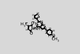 COc1ccc(-c2cc3c(NN4C(=O)C=C(C)C4=O)nc(-c4cccs4)nc3s2)cc1